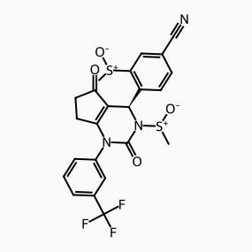 C[S+]([O-])c1cc(C#N)ccc1[C@@H]1C2=C(CCC2=O)N(c2cccc(C(F)(F)F)c2)C(=O)N1[S+](C)[O-]